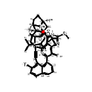 CSc1nc2c3c(nc(-c4cccc5ccc(F)c(C#C[Si](C(C)C)(C(C)C)C(C)C)c45)c(F)c3n1)OCC[C@@H]1[C@H]3CC[C@@H](CN21)N3C(=O)OC(C)(C)C